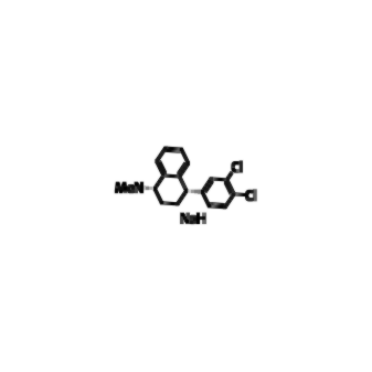 CN[C@H]1CC[C@@H](c2ccc(Cl)c(Cl)c2)c2ccccc21.[NaH]